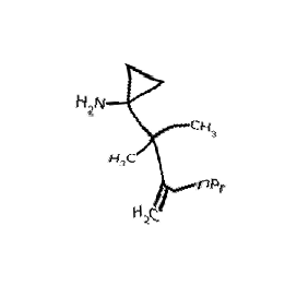 C=C(CCC)C(C)(C)C1(N)CC1